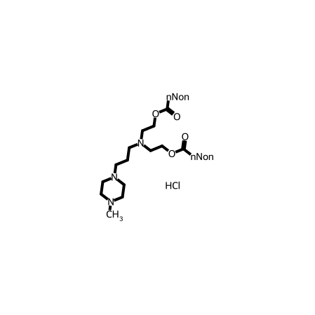 CCCCCCCCCC(=O)OCCN(CCCN1CCN(C)CC1)CCOC(=O)CCCCCCCCC.Cl